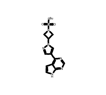 CCCCS(=O)(=O)N1CC(n2cc(-c3ncnc4[nH]ccc34)cn2)C1